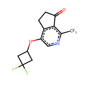 O=C1CCc2c(OC3CC(F)(F)C3)cnc(C(F)(F)F)c21